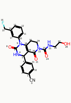 N#Cc1ccc(C2NC(=O)N(c3cccc(CF)c3)C3=C2C(=O)N(C(=O)NCCO)CC3)cc1